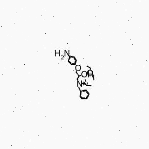 CCOCC.CC[C@H](C)N(Cc1ccccc1)CC(O)COc1ccc(N)cc1